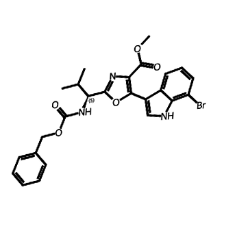 COC(=O)c1nc([C@@H](NC(=O)OCc2ccccc2)C(C)C)oc1-c1c[nH]c2c(Br)cccc12